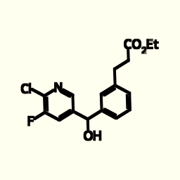 CCOC(=O)CCc1cccc(C(O)c2cnc(Cl)c(F)c2)c1